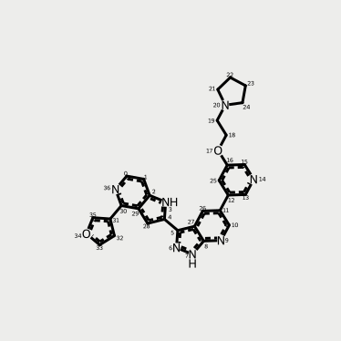 c1cc2[nH]c(-c3n[nH]c4ncc(-c5cncc(OCCN6CCCC6)c5)cc34)cc2c(-c2ccoc2)n1